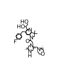 C[C@@H]1CN(CC(=O)N2CC(C)(C)c3nc(C(O)CO)c(Cc4ccc(F)cc4)cc32)[C@@H](CN2CCOC[C@H]2C)CN1